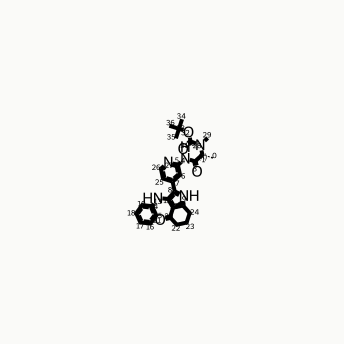 C[C@H](C(=O)Nc1cc(-c2[nH]c3c(c2Nc2ccccc2)C(=O)CCC3)ccn1)N(C)C(=O)OC(C)(C)C